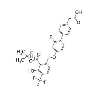 CC(C)(C)OC(=O)c1c(COc2ccc(-c3ccc(CC(=O)O)cc3)c(F)c2)ccc(C(F)(F)F)c1O